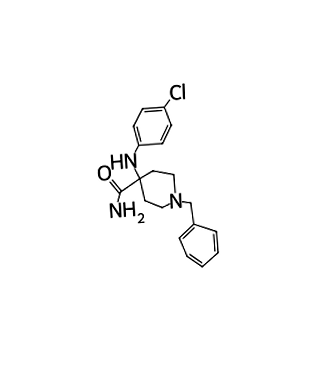 NC(=O)C1(Nc2ccc(Cl)cc2)CCN(Cc2ccccc2)CC1